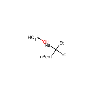 CCCCC[C]([Na])(CC)CC.O=S(=O)(O)O